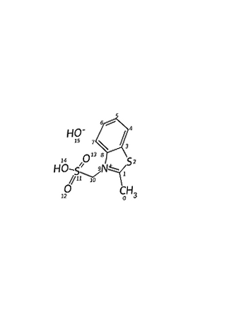 Cc1sc2ccccc2[n+]1CS(=O)(=O)O.[OH-]